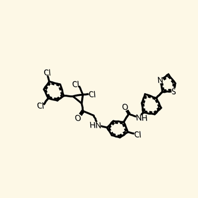 O=C(Nc1ccc(-c2nccs2)cc1)c1cc(NCC(=O)C2C(c3cc(Cl)cc(Cl)c3)C2(Cl)Cl)ccc1Cl